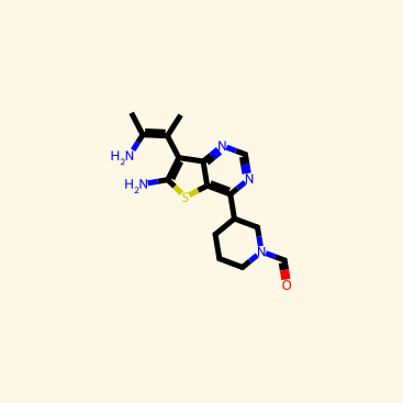 C/C(N)=C(\C)c1c(N)sc2c(C3CCCN(C=O)C3)ncnc12